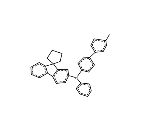 Cc1ccc(-c2ccc(N(c3ccccc3)c3ccc4c(c3)C3(CCCC3)c3ccccc3-4)cc2)cc1